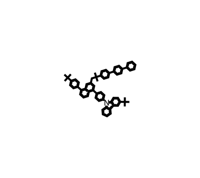 CC(C)(C)c1ccc(-c2cccc3c(-c4ccc(-n5c6ccccc6c6cc(C(C)(C)C)ccc65)cc4)cc(CC(C)(C)c4ccc(-c5ccc(-c6ccccc6)cc5)cc4)cc23)cc1